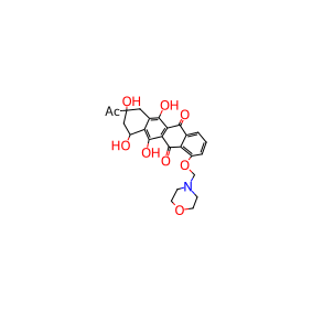 CC(=O)C1(O)Cc2c(O)c3c(c(O)c2C(O)C1)C(=O)c1c(OCN2CCOCC2)cccc1C3=O